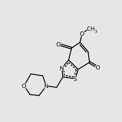 COC1=CC(=O)c2sc(CN3CCOCC3)nc2C1=O